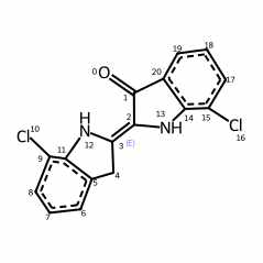 O=C1/C(=C2/Cc3cccc(Cl)c3N2)Nc2c(Cl)cccc21